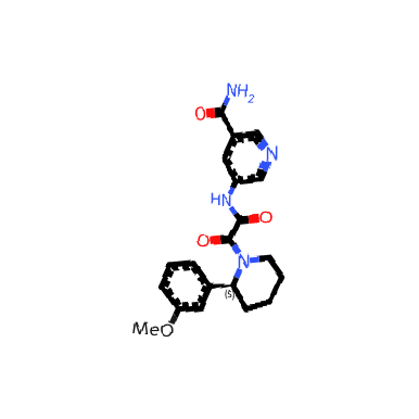 COc1cccc([C@@H]2CCCCN2C(=O)C(=O)Nc2cncc(C(N)=O)c2)c1